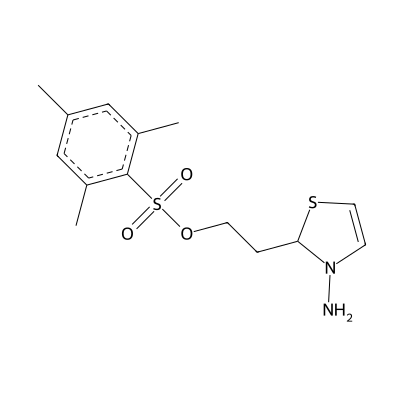 Cc1cc(C)c(S(=O)(=O)OCCC2SC=CN2N)c(C)c1